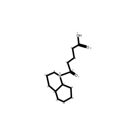 O=C(O)CCCC(=O)N1CCCC2CCCCC21